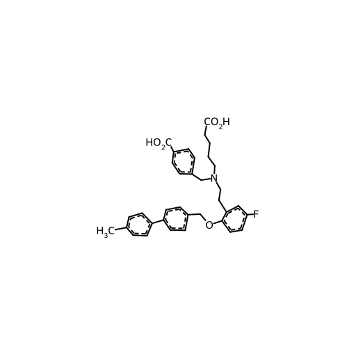 Cc1ccc(-c2ccc(COc3ccc(F)cc3CCN(CCCCC(=O)O)Cc3ccc(C(=O)O)cc3)cc2)cc1